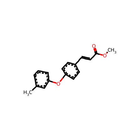 COC(=O)C=Cc1ccc(Oc2cccc(C)c2)cc1